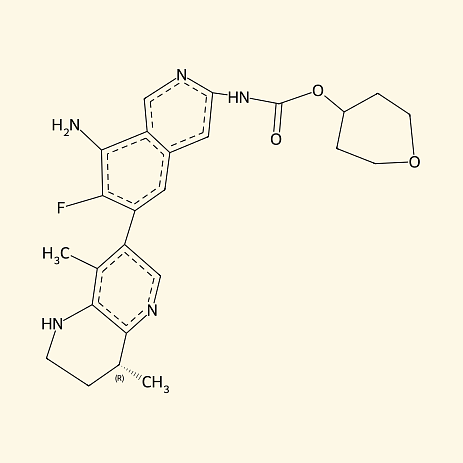 Cc1c(-c2cc3cc(NC(=O)OC4CCOCC4)ncc3c(N)c2F)cnc2c1NCC[C@H]2C